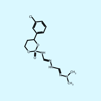 CN(C)N=CNN=CNP1(=O)OCCC(c2cccc(Cl)c2)O1